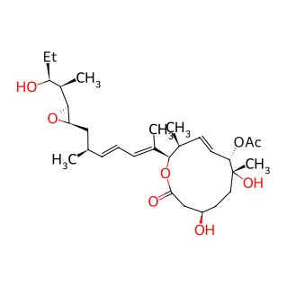 CC[C@H](O)[C@@H](C)[C@H]1O[C@@H]1C[C@H](C)/C=C/C=C(\C)[C@@H]1OC(=O)C[C@H](O)CC[C@@](C)(O)[C@@H](OC(C)=O)/C=C/[C@@H]1C